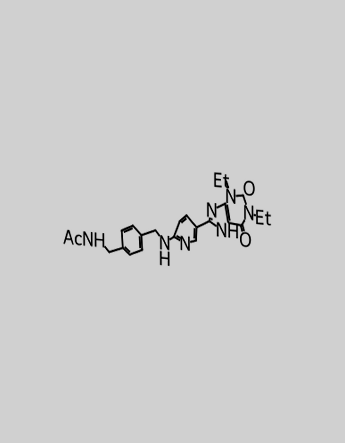 CCn1c(=O)c2[nH]c(-c3ccc(NCc4ccc(CNC(C)=O)cc4)nc3)nc2n(CC)c1=O